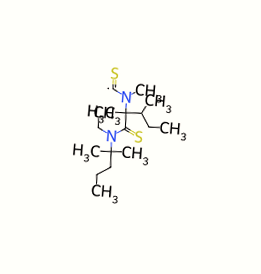 CCCC(C)(C)N(CC)C(=S)C(C)(C(C)CC)N(C)[C]=S